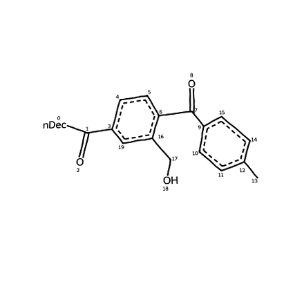 CCCCCCCCCCC(=O)c1ccc(C(=O)c2ccc(C)cc2)c(CO)c1